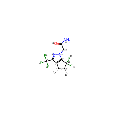 C[C@@H]1c2c(C(F)(F)F)nn(CC(N)=O)c2C(F)(F)[C@@H]1C